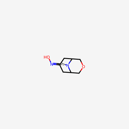 CCCN1C2COCC1CC(=NO)C2